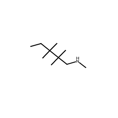 CCC(C)(C)C(C)(C)CNC